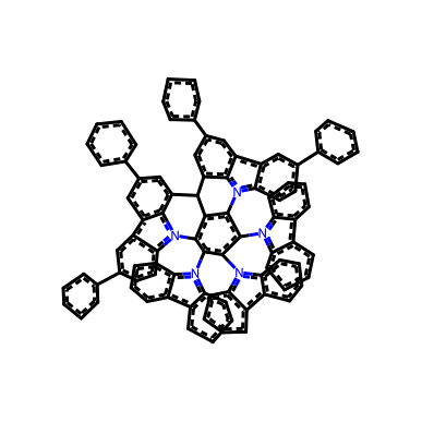 c1ccc(-c2ccc3c(c2)c2cc(-c4ccccc4)cc4c2n3-c2c3c(c(-n5c6ccccc6c6ccccc65)c(-n5c6ccccc6c6ccccc65)c2-n2c5ccccc5c5ccccc52)-n2c5ccc(-c6ccccc6)cc5c5cc(-c6ccccc6)cc(c52)C34)cc1